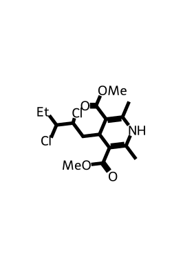 CCC(Cl)C(Cl)CC1C(C(=O)OC)=C(C)NC(C)=C1C(=O)OC